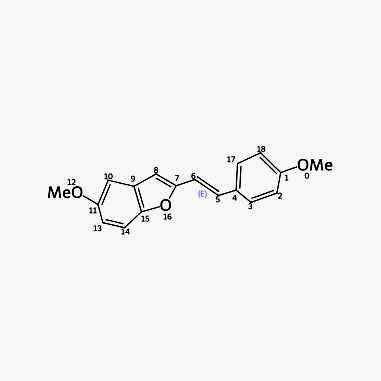 COc1ccc(/C=C/c2cc3cc(OC)ccc3o2)cc1